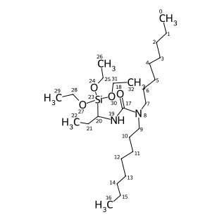 CCCCCCCCN(CCCCCCCC)C(=O)NC(CC)[Si](OCC)(OCC)OCC